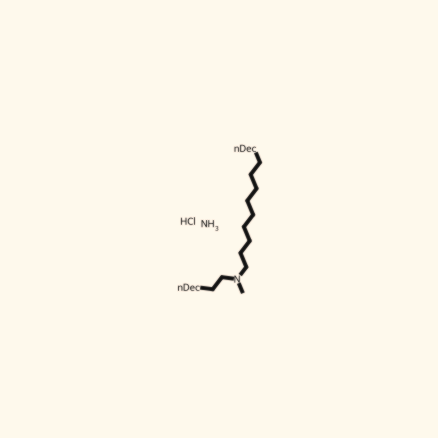 CCCCCCCCCCCCCCCCCCCN(C)CCCCCCCCCCCC.Cl.N